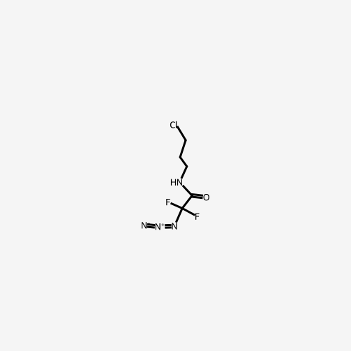 [N-]=[N+]=NC(F)(F)C(=O)NCCCCl